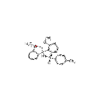 COc1ccccc1C(CN)(NS(=O)(=O)c1ccc(C)cc1)c1ccccc1OC